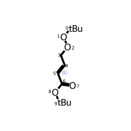 CC(C)(C)OOC/C=C/C(=O)OC(C)(C)C